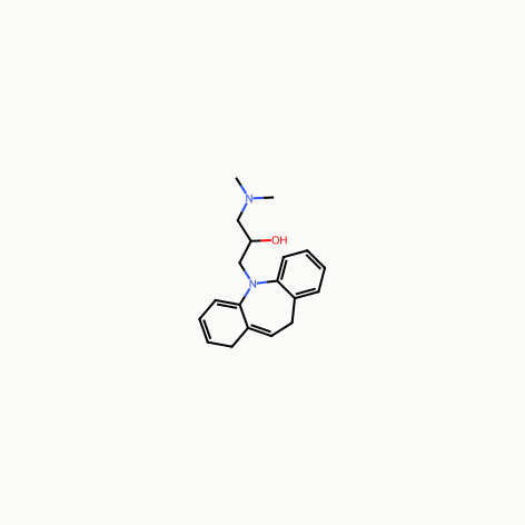 CN(C)CC(O)CN1C2=CC=CCC2=CCc2ccccc21